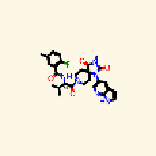 Cc1ccc(F)c(C(=O)N[C@@H](C(=O)N2CCC3(CC2)C(=O)N(C)C(=O)N3c2cnc3[nH]ccc3c2)C(C)C)c1